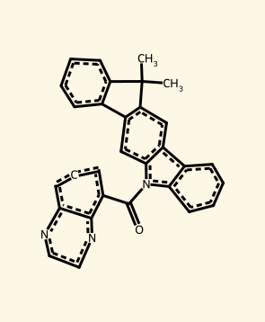 CC1(C)c2ccccc2-c2cc3c(cc21)c1ccccc1n3C(=O)c1cccc2nccnc12